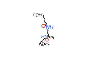 CCCCCCCCCCCCCCCC(=O)NCCCC[C@H](NC(=O)CCCCCCCCCCCCC)C(C)C